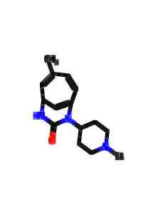 CCN1CCC(N2C(=O)NC3C=C(C)C=CC2=C3)CC1